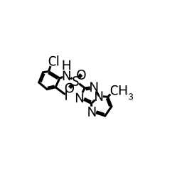 Cc1ccnc2nc(S(=O)(=O)Nc3c(Cl)cccc3I)nn12